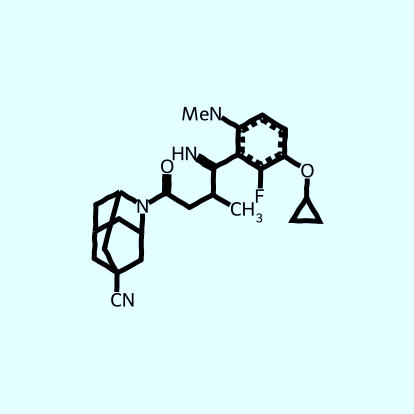 CNc1ccc(OC2CC2)c(F)c1C(=N)C(C)CC(=O)N1C2CC3CC1CC(C#N)(C3)C2